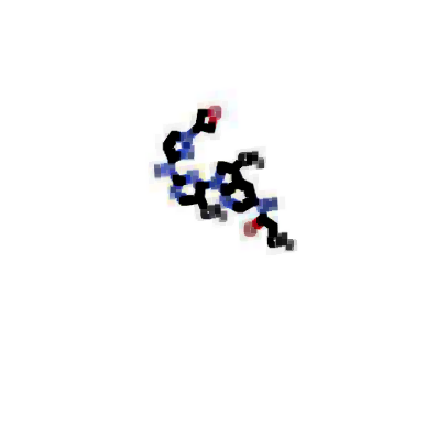 C=CC(=O)Nc1cnc2c(c1)c(C)cn2-c1nc(Nc2ccn(C3COC3)n2)ncc1C